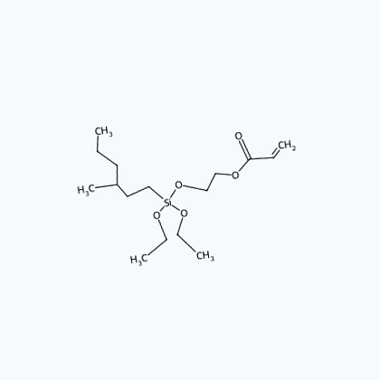 C=CC(=O)OCCO[Si](CCC(C)CCC)(OCC)OCC